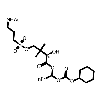 CCCC(OC(=O)OC1CCCCC1)OC(=O)[C@H](O)C(C)(C)COS(=O)(=O)CCCNC(C)=O